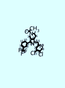 CC(=O)N1CCc2c(c(-c3cccc(C(F)(F)F)c3)nn2Cc2cc(Cl)c(Cl)cn2)C1